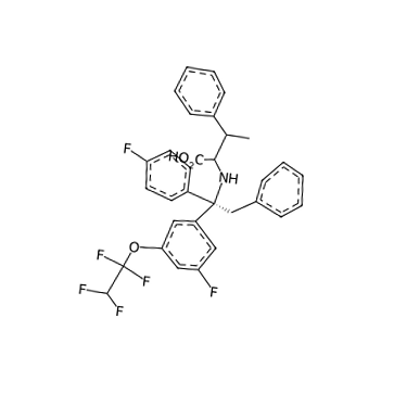 CC(c1ccccc1)C(N[C@](Cc1ccccc1)(c1ccc(F)cc1)c1cc(F)cc(OC(F)(F)C(F)F)c1)C(=O)O